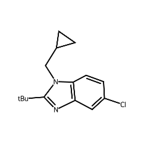 CC(C)(C)c1nc2cc(Cl)ccc2n1CC1CC1